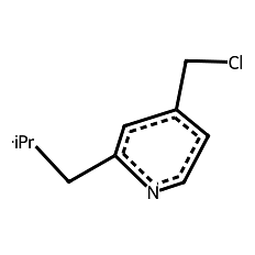 C[C](C)Cc1cc(CCl)ccn1